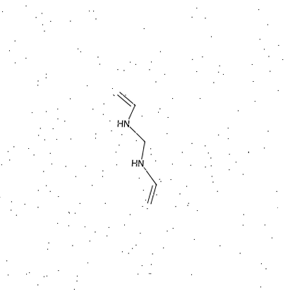 C=CNCNC=C